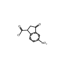 O=C1CC(C(=O)Cl)c2ccc([N+](=O)[O-])cc21